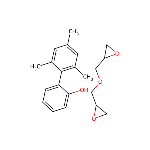 C(OCC1CO1)C1CO1.Cc1cc(C)c(-c2ccccc2O)c(C)c1